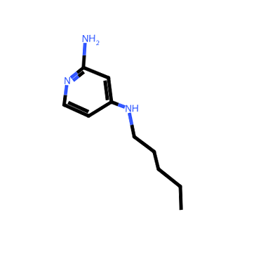 CCCCCNc1ccnc(N)c1